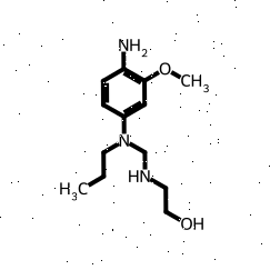 CCCN(CNCCO)c1ccc(N)c(OC)c1